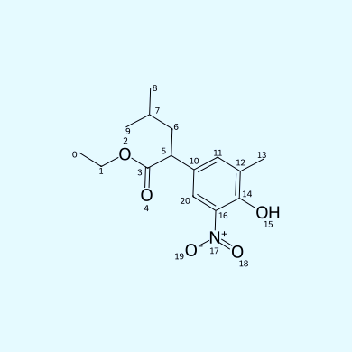 CCOC(=O)C(CC(C)C)c1cc(C)c(O)c([N+](=O)[O-])c1